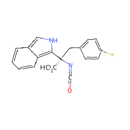 O=C=N[C@@](Cc1ccc(F)cc1)(C(=O)O)c1[nH]cc2ccccc12